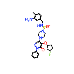 Cc1ccc(CN[S+]([O-])N2CCN(c3cnn(-c4ccccc4)c(=O)c3OC3CCC(F)C3)CC2)cc1N